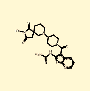 CNC(=O)Nc1sc2ncccc2c1C(=O)N1CCC(N2CCCC3(CC(=O)N(C(C)C)C3=O)C2)CC1